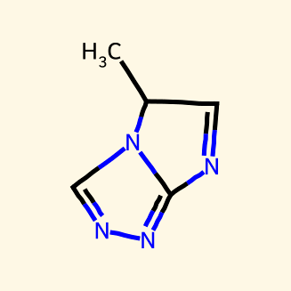 CC1C=Nc2nncn21